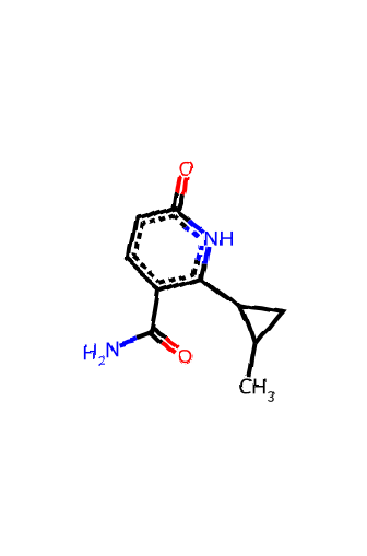 CC1CC1c1[nH]c(=O)ccc1C(N)=O